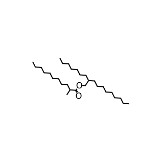 CCCCCCCCCC(CCCCCCC)COC(=O)C(C)CCCCCCCCC